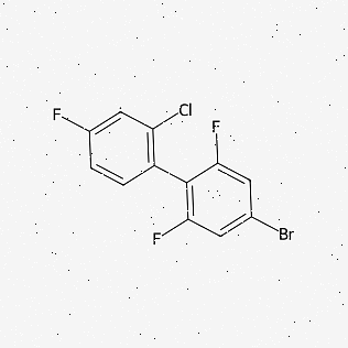 Fc1[c]c(Cl)c(-c2c(F)cc(Br)cc2F)cc1